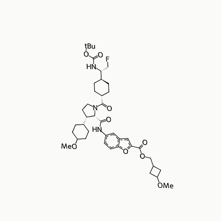 COC1CCC([C@@H]2CCN(C(=O)[C@H]3CC[C@H]([C@@H](CF)NC(=O)OC(C)(C)C)CC3)[C@@H]2C(=O)Nc2ccc3oc(C(=O)OCC4CC(OC)C4)cc3c2)CC1